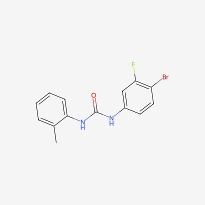 Cc1ccccc1NC(=O)Nc1ccc(Br)c(F)c1